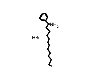 Br.CCCCCCCCCCCCC(N)c1ccccc1